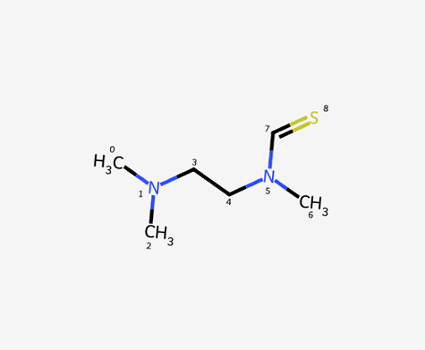 CN(C)CCN(C)C=S